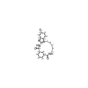 O=C1NCCCCCn2c(nc3cc(F)ccc32)NC(=O)c2cccc1c2